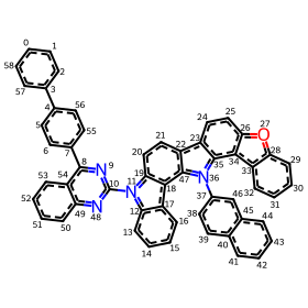 c1ccc(-c2ccc(-c3nc(-n4c5ccccc5c5c4ccc4c6ccc7oc8ccccc8c7c6n(-c6ccc7ccccc7c6)c45)nc4ccccc34)cc2)cc1